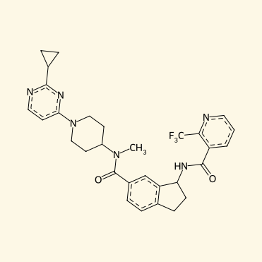 CN(C(=O)c1ccc2c(c1)C(NC(=O)c1cccnc1C(F)(F)F)CC2)C1CCN(c2ccnc(C3CC3)n2)CC1